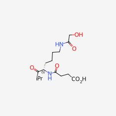 CC(C)C(=O)[C@H](CCCCNC(=O)CO)NC(=O)CCC(=O)O